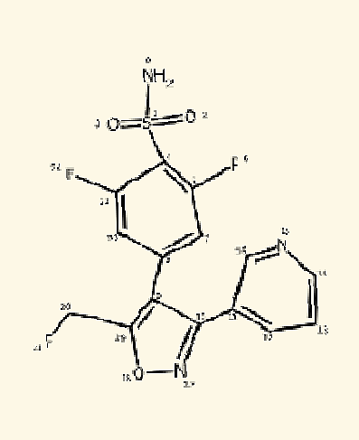 NS(=O)(=O)c1c(F)cc(-c2c(-c3cccnc3)noc2CF)cc1F